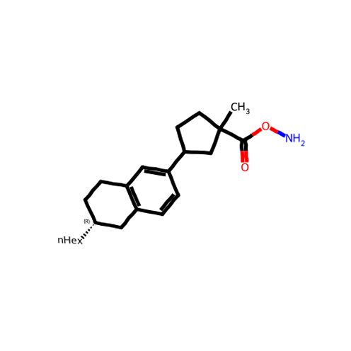 CCCCCC[C@@H]1CCc2cc(C3CCC(C)(C(=O)ON)C3)ccc2C1